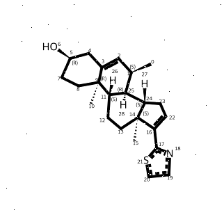 C[C@@H]1C=C2C[C@H](O)CC[C@]2(C)[C@H]2CC[C@]3(C)C(c4nccs4)=CC[C@H]3[C@H]12